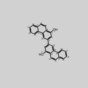 Oc1cc(-c2cc(O)c3ccc4ccccc4c3c2)cc2c1ccc1ccccc12